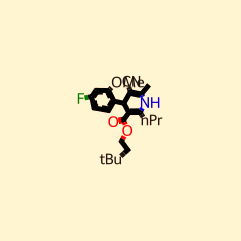 CCCC1=C(C(=O)OCCC(C)(C)C)C(c2ccc(F)cc2OC)C(C#N)=C(C)N1